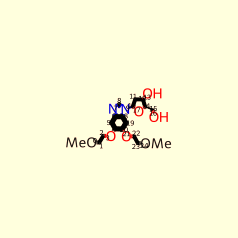 COCCOc1cc2ncn([C@H]3C[C@@H](O)[C@@H](CO)O3)c2cc1OCCOC